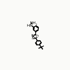 CC(C)(C)c1ccc(-c2nnc(-c3cccc(NN)c3)o2)cc1